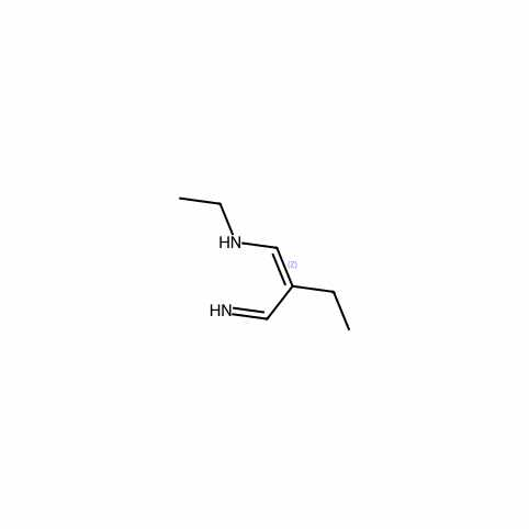 CCN/C=C(\C=N)CC